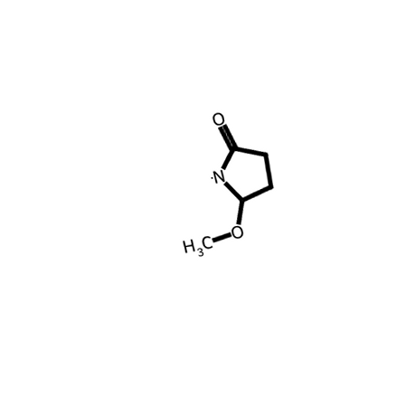 COC1CCC(=O)[N]1